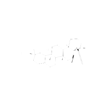 C[C@H]1C(=O)O[C@@H]2OCC[C@H]3[C@]4(C)CC[C@@]5(C)[C@@H]6C[C@](C)(C(=O)O)CC[C@]6(C)CC[C@]5(C)[C@H]4CC[C@]213